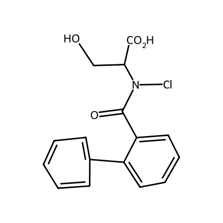 O=C(O)C(CO)N(Cl)C(=O)c1ccccc1-c1ccccc1